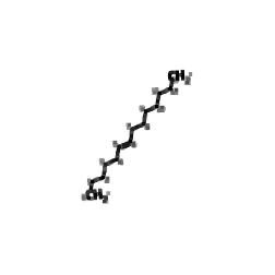 [CH2]CCCC/C=C/CCCCCC[CH2]